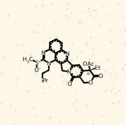 CC[C@@]1(OC(C)=O)C(=O)OCc2c1cc1n(c2=O)Cc2c-1nc1cccc3c1c2N(CCC(C)C)C([S+](C)[O-])=N3